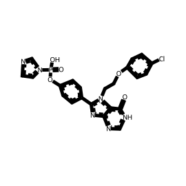 O=c1[nH]cnc2nc(-c3ccc(OP(=O)(O)n4ccnc4)cc3)n(CCOc3ccc(Cl)cc3)c12